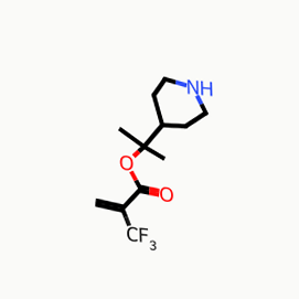 C=C(C(=O)OC(C)(C)C1CCNCC1)C(F)(F)F